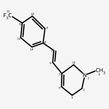 CN1CCC=C(C=Cc2ccc(C(F)(F)F)cc2)C1